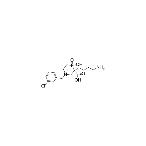 NCCCCC1(C(=O)O)CN(Cc2cccc(Cl)c2)CCP1(=O)O